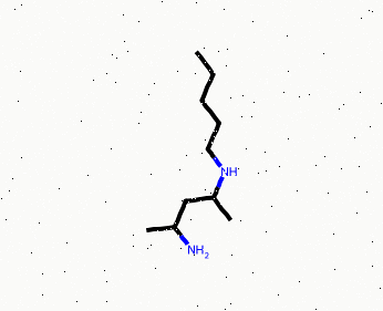 CCCCCNC(C)CC(C)N